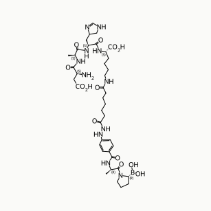 C[C@H](NC(=O)[C@@H](N)CC(=O)O)C(=O)N[C@@H](CC1CNC=N1)C(=O)N[C@@H](CCCCNC(=O)CCCCCC(=O)NNc1ccc(C(=O)N[C@H](C)C(=O)N2CCC[C@H]2B(O)O)cc1)C(=O)O